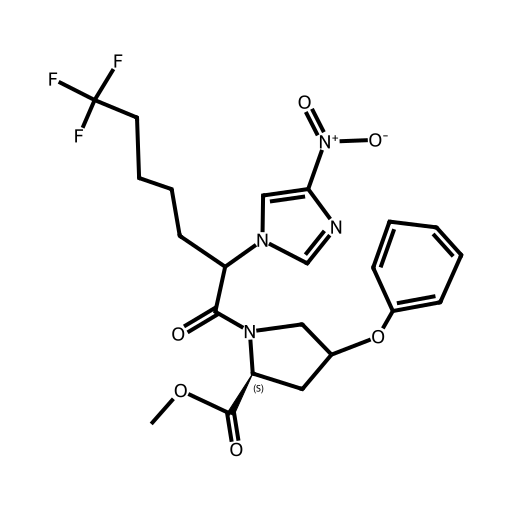 COC(=O)[C@@H]1CC(Oc2ccccc2)CN1C(=O)C(CCCCC(F)(F)F)n1cnc([N+](=O)[O-])c1